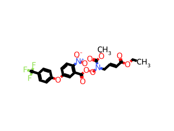 CCOC(=O)C=CCN(OOC(=O)c1cc(Oc2ccc(C(F)(F)F)cc2)ccc1[N+](=O)[O-])C(=O)OC